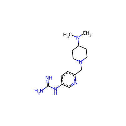 CN(C)C1CCN(Cc2ccc(NC(=N)N)cn2)CC1